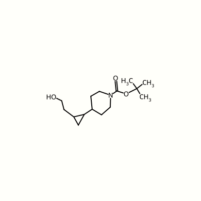 CC(C)(C)OC(=O)N1CCC(C2CC2CCO)CC1